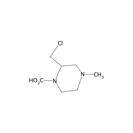 CN1CCN(C(=O)O)C(CCl)C1